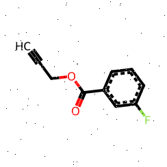 C#CCOC(=O)c1cccc(F)c1